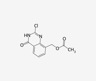 CC(=O)OCc1cccc2c(=O)[nH]c(Cl)nc12